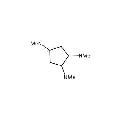 CN[C]1CC(NC)C(NC)C1